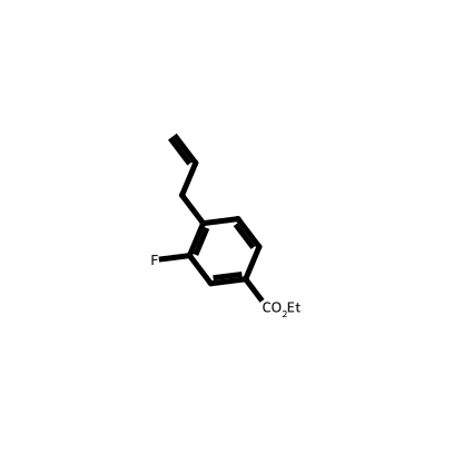 C=CCc1ccc(C(=O)OCC)cc1F